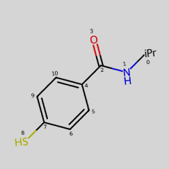 CC(C)NC(=O)c1ccc(S)cc1